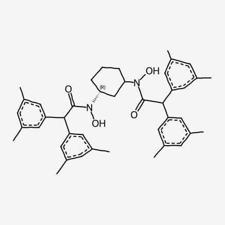 Cc1cc(C)cc(C(C(=O)N(O)C2CCC[C@@H](N(O)C(=O)C(c3cc(C)cc(C)c3)c3cc(C)cc(C)c3)C2)c2cc(C)cc(C)c2)c1